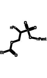 CCCCCOS(=O)(=O)C(CCC)COC(=O)CC